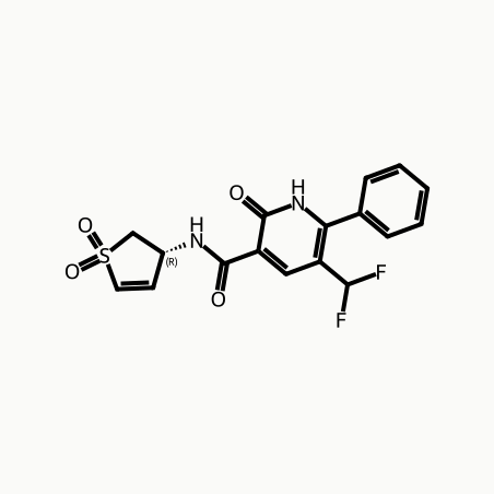 O=C(N[C@@H]1C=CS(=O)(=O)C1)c1cc(C(F)F)c(-c2ccccc2)[nH]c1=O